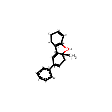 CC12CC=C(c3ccccc3)C=C1C1=C(C=CCC1)O2